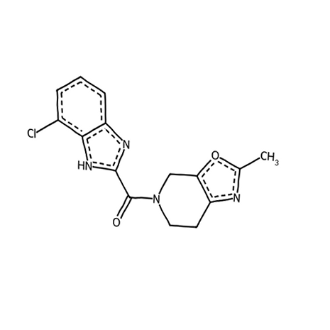 Cc1nc2c(o1)CN(C(=O)c1nc3cccc(Cl)c3[nH]1)CC2